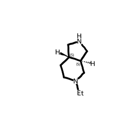 CCN1CC[C@@H]2CNC[C@H]2C1